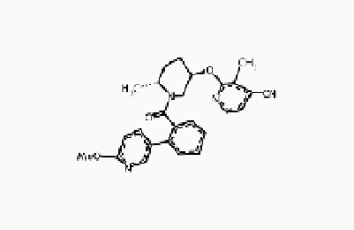 COc1ccc(-c2ccccc2C(=O)N2C[C@H](Oc3nccc(C#N)c3C)CC[C@H]2C)cn1